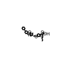 CCCCO[C@@](C)(Cc1ccc(OCC[C@@H]2CN(Cc3ccc(-c4ccccc4)cc3)C(=O)N2C)cc1)C(=O)O